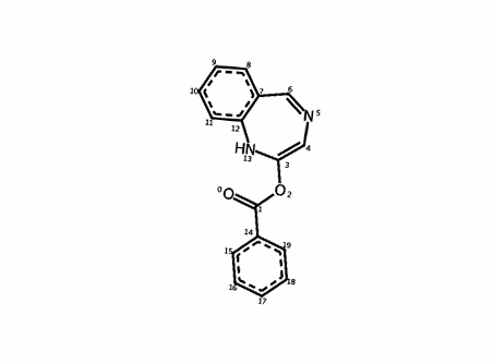 O=C(OC1=CN=Cc2ccccc2N1)c1ccccc1